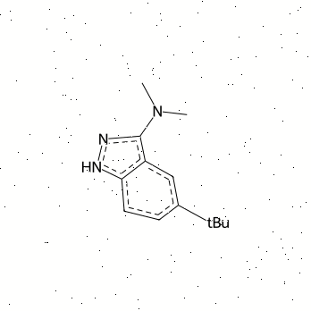 CN(C)c1n[nH]c2ccc(C(C)(C)C)cc12